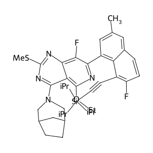 CCOc1nc(-c2cc(C)cc3ccc(F)c(C#C[Si](C(C)C)(C(C)C)C(C)C)c23)c(F)c2nc(SC)nc(N3CC4CCC(C4)C3)c12